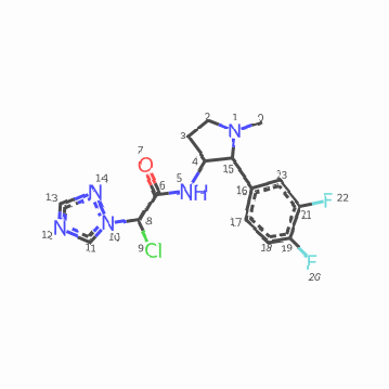 CN1CCC(NC(=O)C(Cl)n2cncn2)C1c1ccc(F)c(F)c1